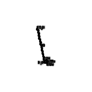 COc1cc(C)c(CCCCCCCCCC(=O)CCCCCCCCCCCC(=O)O)c(O)c1OC